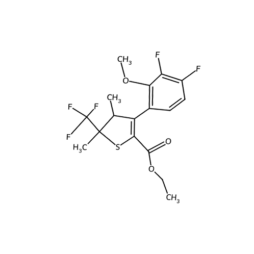 CCOC(=O)C1=C(c2ccc(F)c(F)c2OC)C(C)C(C)(C(F)(F)F)S1